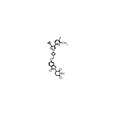 Cc1nc(-c2cn([C@H]3C[C@H](COc4ccc5c(c4)CN(C4CCC(=O)NC4=O)C5=O)C3)nc2C2CC2)ccc1F